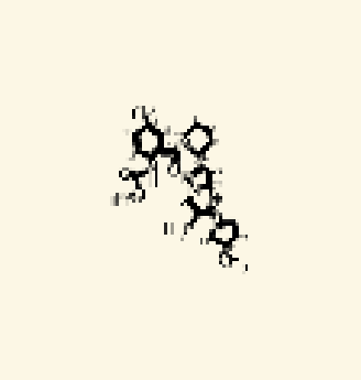 Cc1cn2nc([C@@H]3CCCCN3C(=O)c3cc(Cl)ccc3NC(=O)OC(C)C)cc2nc1N1CC[C@H](C)C1